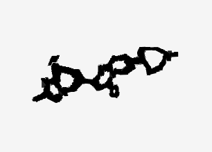 Cc1cn2cc(-c3cc(=O)n4cc(C5CCN(C)CC5)ccc4n3)cc(F)c2n1